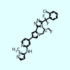 Cn1nccc1Nc1cc(-c2cc3n(c2)C[C@H](CF)n2c-3nnc2C(F)(F)c2ccccc2Cl)ccn1